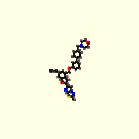 COc1cc(COc2cccc(-c3ccc(CN4CCOCC4)cc3)c2)c2cc(-c3cn4nc(C)sc4n3)oc2c1